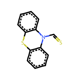 S=CN1c2ccccc2Sc2ccccc21